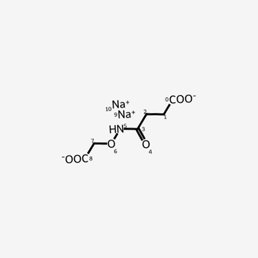 O=C([O-])CCC(=O)NOCC(=O)[O-].[Na+].[Na+]